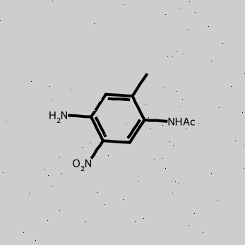 CC(=O)Nc1cc([N+](=O)[O-])c(N)cc1C